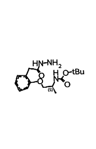 C[C@@H](COc1ccccc1CC(=O)NN)NC(=O)OC(C)(C)C